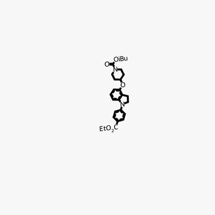 CCOC(=O)c1ccc(N2CCc3c(OC4CCN(C(=O)OCC(C)C)CC4)cccc32)cc1